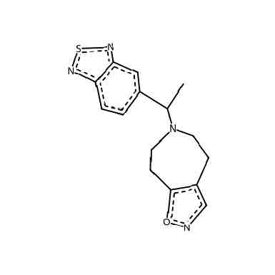 CC(c1ccc2nsnc2c1)N1CCc2cnoc2CC1